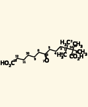 CC(C)(CCCC(=O)CCCCCC(=O)O)C(C)(C)C(=O)O